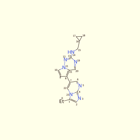 CCc1cnc2ncc(-c3ccn4nc(NCC5CC5)ncc34)cn12